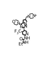 CCNC(=O)Nc1cc(C(F)(F)F)c(-c2nc(N3CCOCC3)c3cc(CN4CCN(C)CC4)cn3n2)cn1